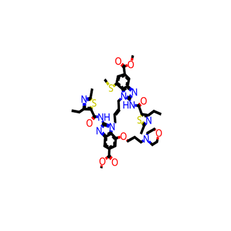 CCc1nc(C)sc1C(=O)Nc1nc2cc(C(=O)OC)cc(OCCCN3CCOCC3)c2n1C/C=C/Cn1c(NC(=O)c2sc(C)nc2CC)nc2cc(C(=O)OC)cc(SC)c21